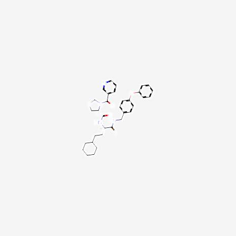 O=C(N[C@H](CCC1CCCCC1)C(=S)NCc1ccc(Oc2ccccc2)cc1)[C@@H]1CSCN1C(=O)c1cccnc1